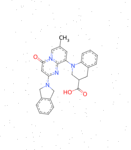 Cc1cc(N2CC(C(=O)O)Cc3ccccc32)c2nc(N3Cc4ccccc4C3)cc(=O)n2c1